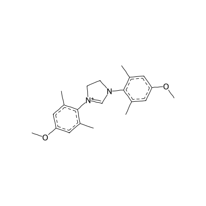 COc1cc(C)c(N2C=[N+](c3c(C)cc(OC)cc3C)CC2)c(C)c1